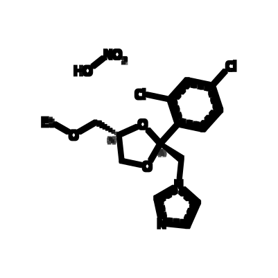 CCOC[C@H]1CO[C@@](Cn2ccnc2)(c2ccc(Cl)cc2Cl)O1.O=[N+]([O-])O